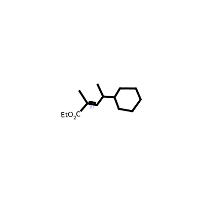 CCOC(=O)/C(C)=C/C(C)C1CCCCC1